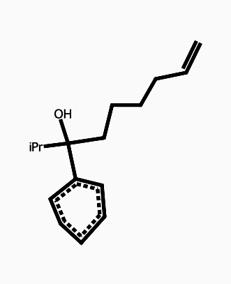 C=CCCCCC(O)(c1ccccc1)C(C)C